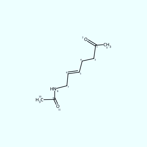 CC(=O)CC/C=C/CNC(C)=O